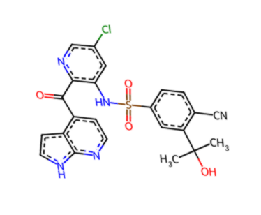 CC(C)(O)c1cc(S(=O)(=O)Nc2cc(Cl)cnc2C(=O)c2ccnc3[nH]ccc23)ccc1C#N